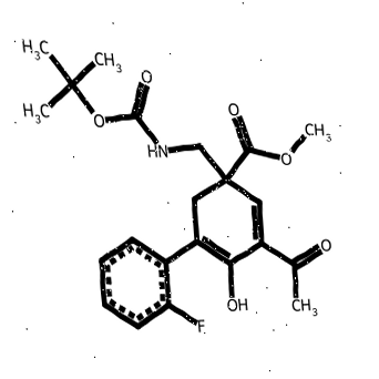 COC(=O)C1(CNC(=O)OC(C)(C)C)C=C(C(C)=O)C(O)=C(c2ccccc2F)C1